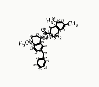 Cc1cc(C)c(CC(N)C(=O)NC2CCN(C)c3ccc(Cc4ccccc4)cc32)c(C)c1